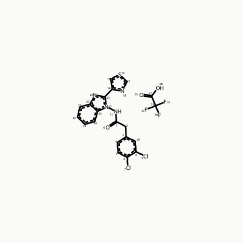 O=C(Cc1ccc(Cl)c(Cl)c1)Nn1c(-c2cscn2)nc2ccccc21.O=C(O)C(F)(F)F